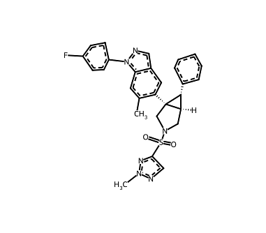 Cc1cc2c(cnn2-c2ccc(F)cc2)cc1[C@@]12CN(S(=O)(=O)c3cnn(C)n3)C[C@@H]1[C@H]2c1ccccc1